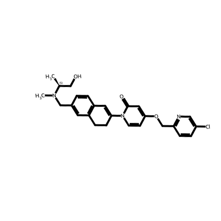 C[C@@H](CO)N(C)Cc1ccc2c(c1)CCC(n1ccc(OCc3ccc(Cl)cn3)cc1=O)=C2